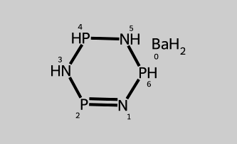 [BaH2].n1p[nH][pH][nH][pH]1